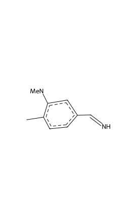 CNc1cc(C=N)ccc1C